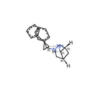 c1ccc(CN2C[C@H]3C[C@@H](C2)[C@@H]3N[C@@H]2CC2c2ccccc2)cc1